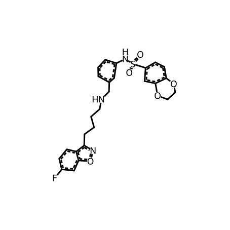 O=S(=O)(Nc1cccc(CNCCCCc2noc3cc(F)ccc23)c1)c1ccc2c(c1)OCCO2